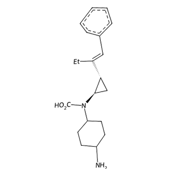 CC/C(=C\c1ccccc1)[C@@H]1C[C@H]1N(C(=O)O)C1CCC(N)CC1